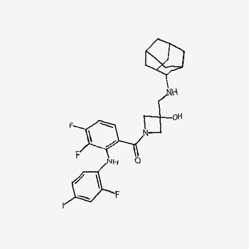 O=C(c1ccc(F)c(F)c1Nc1ccc(I)cc1F)N1CC(O)(CNC2C3CC4CC(C3)CC2C4)C1